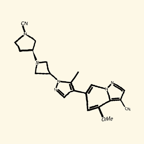 COc1cc(-c2cnn(C3CN([C@H]4CCN(C#N)C4)C3)c2C)cn2ncc(C#N)c12